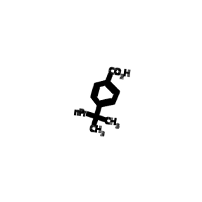 CCCC(C)(C)c1ccc(C(=O)O)cc1